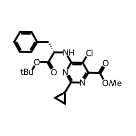 COC(=O)c1nc(C2CC2)nc(N[C@@H](Cc2ccccc2)C(=O)OC(C)(C)C)c1Cl